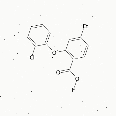 CCc1ccc(C(=O)OF)c(Oc2ccccc2Cl)c1